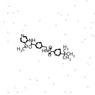 COc1ccncc1NC(=O)c1ccc(CNS(=O)(=O)c2ccc(C(C)(C)C)cc2)cc1